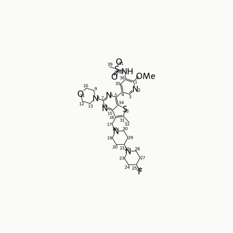 COc1ncc(-c2nc(N3CCOCC3)nc3c(CN4CCC(N5CCC(F)CC5)CC4)c(C)sc23)cc1NS(C)(=O)=O